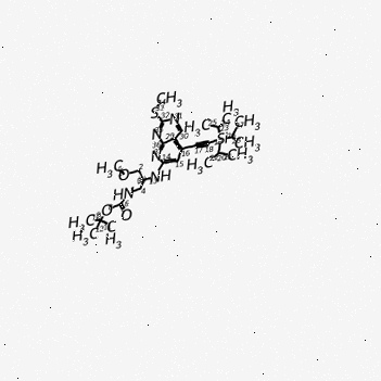 COC[C@H](CNC(=O)OC(C)(C)C)Nc1cc(C#C[Si](C(C)C)(C(C)C)C(C)C)c2cnc(SC)nc2n1